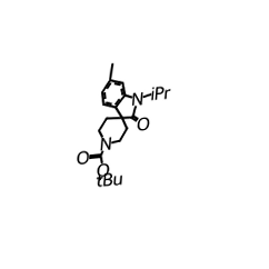 Cc1ccc2c(c1)N(C(C)C)C(=O)C21CCN(C(=O)OC(C)(C)C)CC1